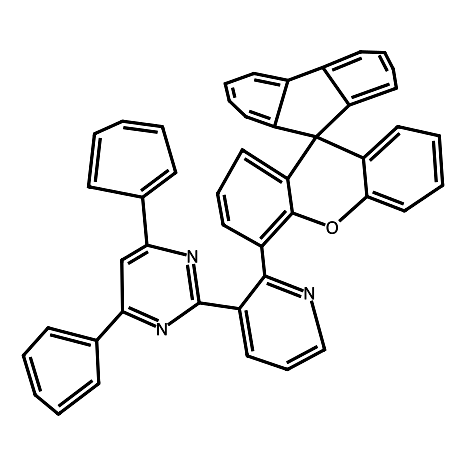 c1ccc(-c2cc(-c3ccccc3)nc(-c3cccnc3-c3cccc4c3Oc3ccccc3C43c4ccccc4-c4ccccc43)n2)cc1